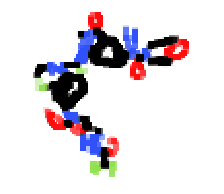 CCN(CCn1c2ccc(NC(=O)N3CCOCC3)cc2c(=O)n1C)c1c(F)cc(N2C[C@H](CNC(=O)C(F)F)OC2=O)cc1F